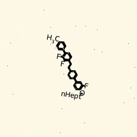 CCCCCCCOc1ccc(C2=CCC(CCc3ccc(-c4ccc(C)cc4)c(F)c3F)CC2)cc1F